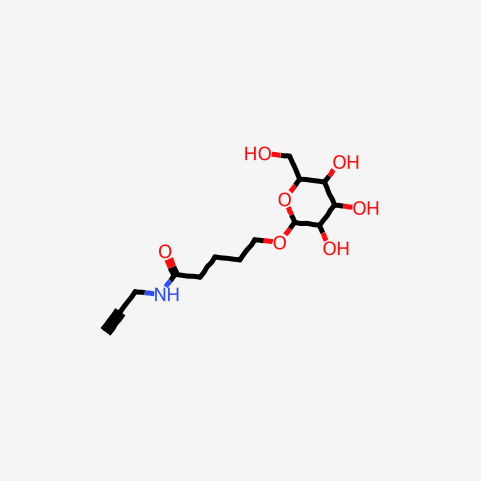 C#CCNC(=O)CCCCOC1OC(CO)C(O)C(O)C1O